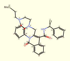 CC[C@H](NC(=O)c1c(CN2CCN(CCOC)CC2)n(-c2ccccc2)c(=O)c2ccccc12)c1ccccc1